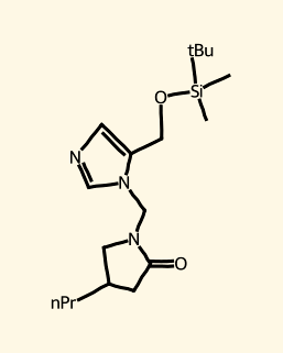 CCCC1CC(=O)N(Cn2cncc2CO[Si](C)(C)C(C)(C)C)C1